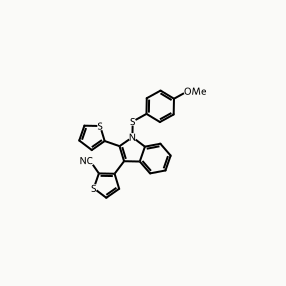 COc1ccc(Sn2c(-c3cccs3)c(-c3ccsc3C#N)c3ccccc32)cc1